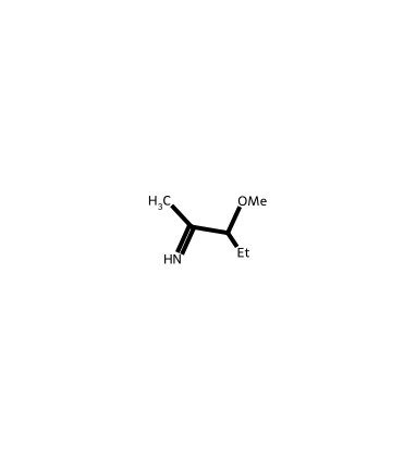 CCC(OC)C(C)=N